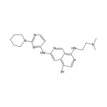 CC(C)c1cnc(NCCN(C)C)c2cnc(Nc3ccnc(N4CCCCC4)n3)cc12